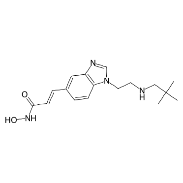 CC(C)(C)CNCCn1cnc2cc(/C=C/C(=O)NO)ccc21